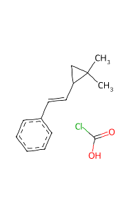 CC1(C)CC1C=Cc1ccccc1.O=C(O)Cl